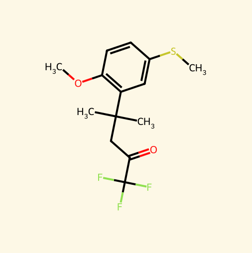 COc1ccc(SC)cc1C(C)(C)CC(=O)C(F)(F)F